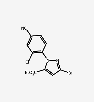 CCOC(=O)c1cc(Br)nn1-c1ccc(C#N)cc1Cl